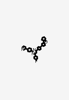 Fc1ccc(-c2cc(-c3ccc(-c4ccc5oc6ccccc6c5c4)cc3)nc(-c3ccc(-c4cccnc4)cc3)n2)cc1